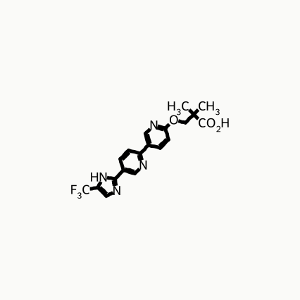 CC(C)(COc1ccc(-c2ccc(-c3ncc(C(F)(F)F)[nH]3)cn2)cn1)C(=O)O